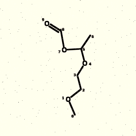 COCCOC(C)O[C]=O